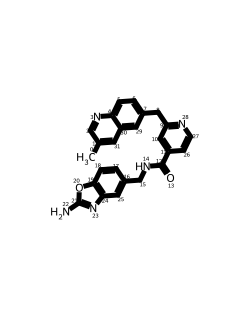 Cc1cnc2ccc(Cc3cc(C(=O)NCc4ccc5oc(N)nc5c4)ccn3)cc2c1